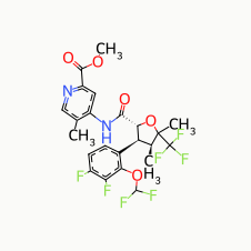 COC(=O)c1cc(NC(=O)[C@@H]2OC(C)(C(F)(F)F)[C@@H](C)[C@H]2c2ccc(F)c(F)c2OC(F)F)c(C)cn1